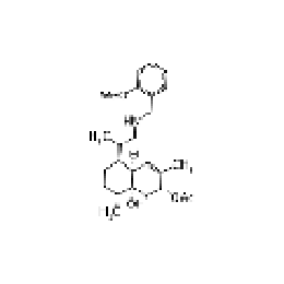 COc1ccccc1CNCC(C)[C@@H]1CC[C@@H](C)[C@]2(O)[CH][C@@H](OC(C)=O)C(C)=C[C@H]12